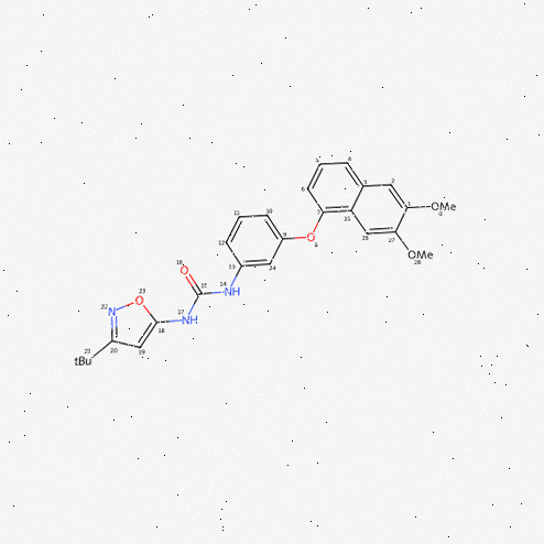 COc1cc2cccc(Oc3cccc(NC(=O)Nc4cc(C(C)(C)C)no4)c3)c2cc1OC